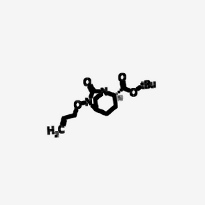 C=CCON1C(=O)N2CC1CC[C@H]2C(=O)OC(C)(C)C